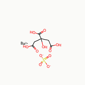 O=C(O)CC(O)(CC(=O)O)C(=O)O.O=S(=O)([O-])[O-].[Ba+2]